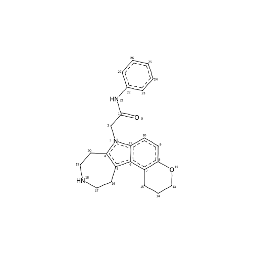 O=C(Cn1c2c(c3c4c(ccc31)OCCC4)CCNCC2)Nc1ccccc1